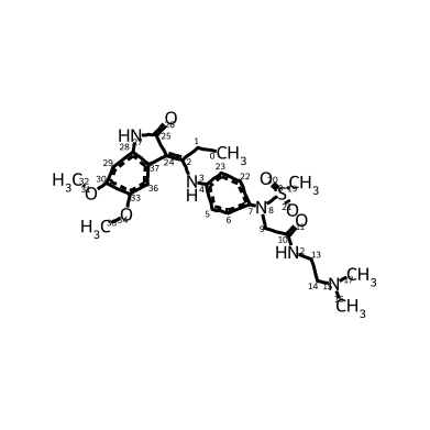 CCC(Nc1ccc(N(CC(=O)NCCN(C)C)S(C)(=O)=O)cc1)=C1C(=O)Nc2cc(OC)c(OC)cc21